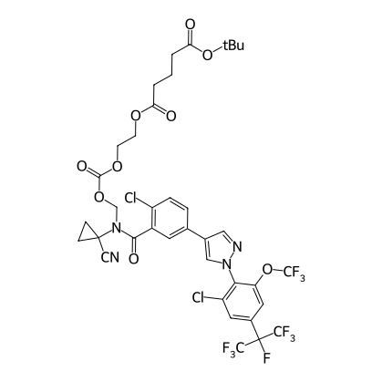 CC(C)(C)OC(=O)CCCC(=O)OCCOC(=O)OCN(C(=O)c1cc(-c2cnn(-c3c(Cl)cc(C(F)(C(F)(F)F)C(F)(F)F)cc3OC(F)(F)F)c2)ccc1Cl)C1(C#N)CC1